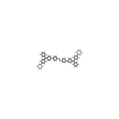 C(=C\c1ccc(-c2ccc(N(c3ccccc3)c3ccc(C4CCCCC4)cc3)cc2)cc1)/c1ccc(-c2ccc(N(c3ccccc3)c3ccc(C4CCCCC4)cc3)cc2)cc1